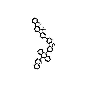 CC1(C)c2cc(-c3ccc4oc5ccc(-c6c7ccccc7c(-c7ccc8ccccc8n7)c7ccccc67)cc5c4c3)ccc2-c2ccc3c(sc4ccccc43)c21